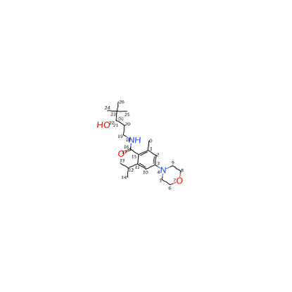 Cc1cc(N2CCOCC2)cc(C(C)C)c1C(=O)NCC[C@H](O)C(C)(C)C